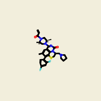 C=CC(=O)N1C[C@H](C)N(c2nc(=O)n3c4c(c(-c5ccc(F)cc5F)c(C)cc24)SCC3CN2CCCC2)C[C@H]1C